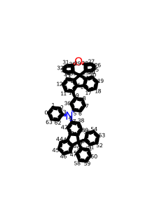 c1ccc(N(c2cccc(-c3cccc4c3-c3ccccc3C43c4ccccc4Oc4ccccc43)c2)c2ccc3c(c2)-c2ccccc2C3(c2ccccc2)c2ccccc2)cc1